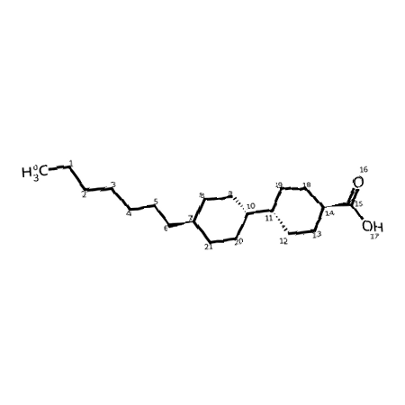 CCCCCCC[C@H]1CC[C@H]([C@H]2CC[C@H](C(=O)O)CC2)CC1